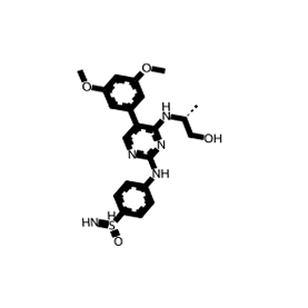 COc1cc(OC)cc(-c2cnc(Nc3ccc([SH](=N)=O)cc3)nc2N[C@H](C)CO)c1